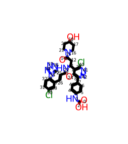 O=C(O)Nc1ccc(-c2cc(C(CC(=O)N3CCC(O)CC3)NC(=O)C=Cc3cc(Cl)ccc3-n3cnnn3)c(Cl)nn2)cc1